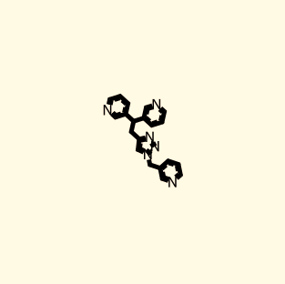 c1cncc(Cn2cc(CC(c3cccnc3)c3cccnc3)nn2)c1